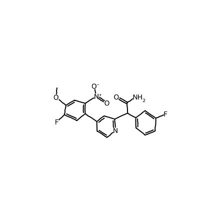 COc1cc([N+](=O)[O-])c(-c2ccnc(C(C(N)=O)c3cccc(F)c3)c2)cc1F